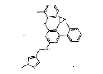 Cc1ccccc1Oc1nc(NSc2cnn(C)c2)nc(-c2ccccc2C)c1C1CC1